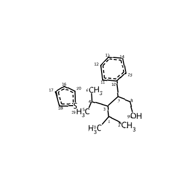 CC(C)C(C(C)C)C(CO)c1ccccc1.c1ccsc1